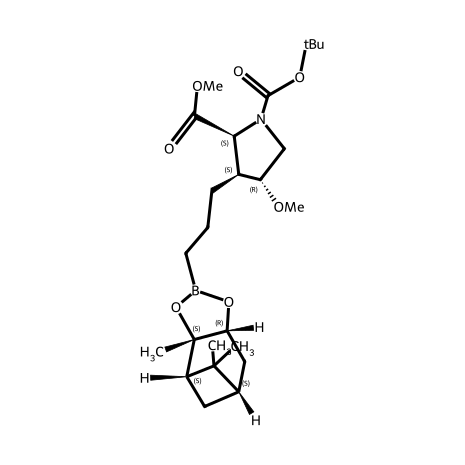 COC(=O)[C@@H]1[C@H](CCCB2O[C@@H]3C[C@@H]4C[C@@H](C4(C)C)[C@]3(C)O2)[C@@H](OC)CN1C(=O)OC(C)(C)C